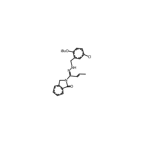 C/C=C/C(=N\NCc1cc(Cl)ccc1OCC(C)C)N1Cc2ccccc2C1=O